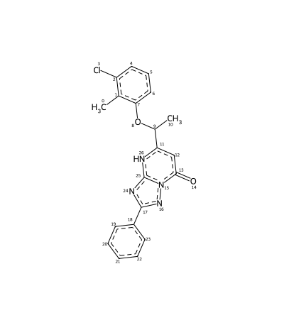 Cc1c(Cl)cccc1OC(C)c1cc(=O)n2nc(-c3ccccc3)nc2[nH]1